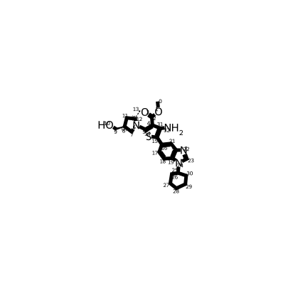 COC(=O)c1c(N2C[C@@H](CO)C[C@@H]2C)sc(-c2ccc3c(c2)ncn3C2CCCCC2)c1N